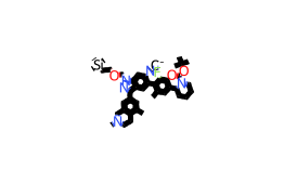 [C-]#[N+]c1cc2c(cc1-c1c(C)cc(C3CCCCN3C(=O)OC(C)(C)C)cc1F)c(-c1cc(C)c3c(c1)CN(C)CC3)nn2COCC[Si](C)(C)C